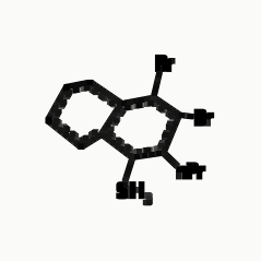 CCCc1c(Br)c(Br)c2ccccc2c1[SiH3]